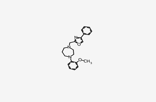 COc1ccccc1N1CCCN(Cc2nc(-c3ccccc3)co2)CC1